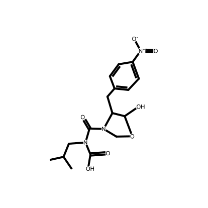 CC(C)CN(C(=O)O)C(=O)N1COC(O)C1Cc1ccc([N+](=O)[O-])cc1